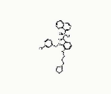 O=S(=O)(c1cccc2ccccc12)c1nn(Cc2cccc(Cl)c2)c2c(OCCCN3CCCC3)cccc12